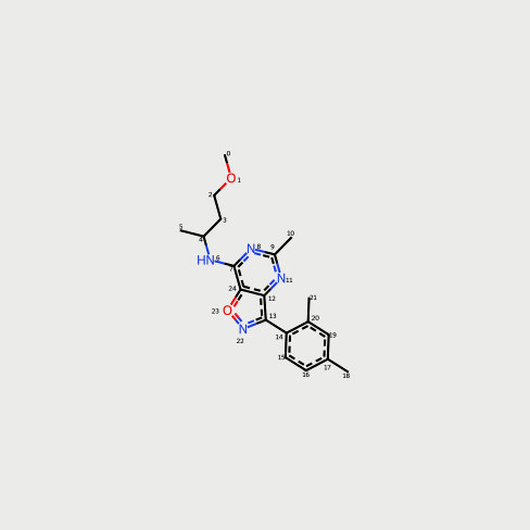 COCCC(C)Nc1nc(C)nc2c(-c3ccc(C)cc3C)noc12